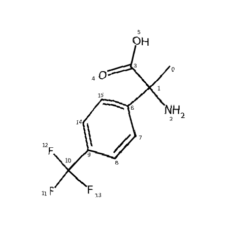 CC(N)(C(=O)O)c1ccc(C(F)(F)F)cc1